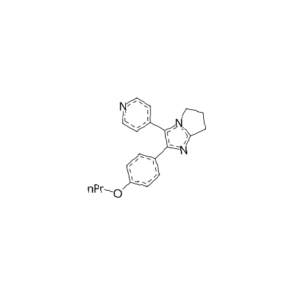 CCCOc1ccc(-c2nc3n(c2-c2ccncc2)CCC3)cc1